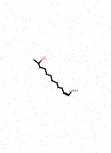 CCCCCCCC/C=C\CCCCCCCC[C](C)O